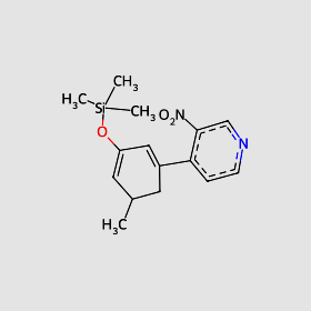 CC1C=C(O[Si](C)(C)C)C=C(c2ccncc2[N+](=O)[O-])C1